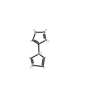 C1=C(n2ccnc2)N=N[N]1